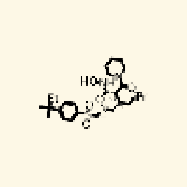 CCC(C)(C)c1ccc(S(=O)(=O)CNC[C@H](CC(C)C)[C@H](C(=O)NO)C(=O)N2CCCCC2)cc1